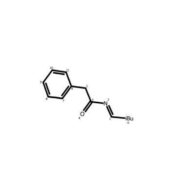 [CH2]C(C=NC(=O)Cc1ccccc1)CC